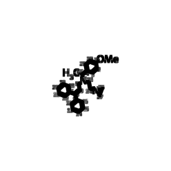 COc1ccc([C@@H](C)N(CC=C(c2ccccc2)c2ccccc2)CCN2CC2)cc1